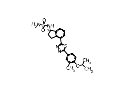 Cc1cc(-c2nnc(-c3cccc4c3CC[C@@H]4NS(N)(=O)=O)s2)ccc1OC(C)C